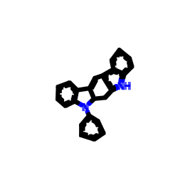 C1=C2c3ccccc3N(c3ccccc3)C2Cc2[nH]c3ccccc3c21